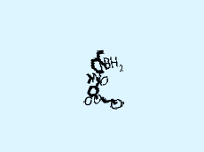 BN1CC(N(C(=O)c2ccc(OC)c(OCCCOC)c2)C(C)C)CCC1CC